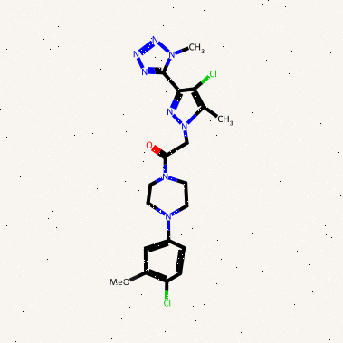 COc1cc(N2CCN(C(=O)Cn3nc(-c4nnnn4C)c(Cl)c3C)CC2)ccc1Cl